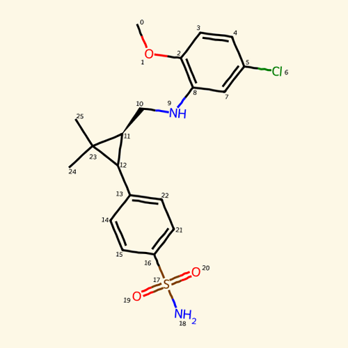 COc1ccc(Cl)cc1NC[C@H]1C(c2ccc(S(N)(=O)=O)cc2)C1(C)C